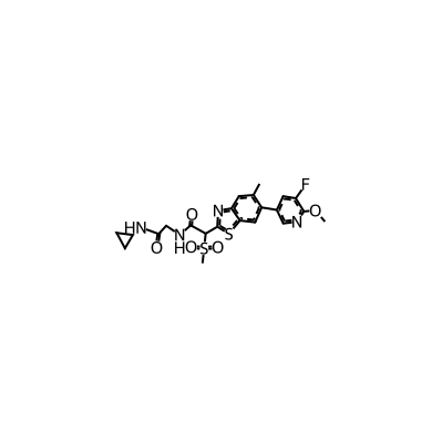 COc1ncc(-c2cc3sc(C(C(=O)NCC(=O)NC4CC4)S(C)(=O)=O)nc3cc2C)cc1F